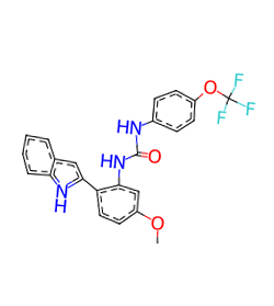 COc1ccc(-c2cc3ccccc3[nH]2)c(NC(=O)Nc2ccc(OC(F)(F)F)cc2)c1